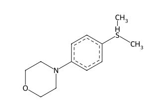 C[SH](C)c1ccc(N2CCOCC2)cc1